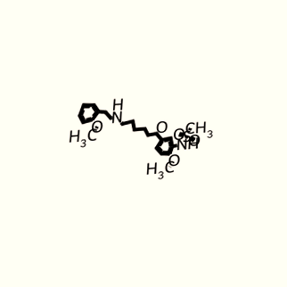 COc1ccccc1CCNCCCCCC(=O)c1ccc(OC)c(NS(C)(=O)=O)c1